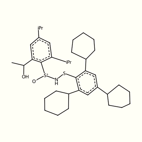 CC(C)c1cc(C(C)C)c([S+]([O-])NSc2c(C3CCCCC3)cc(C3CCCCC3)cc2C2CCCCC2)c(C(C)O)c1